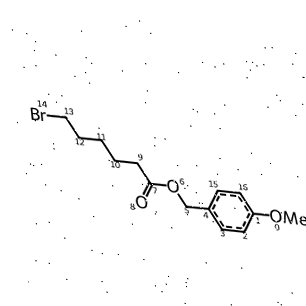 COc1ccc(COC(=O)CCCCCBr)cc1